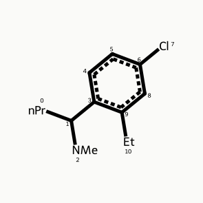 CCCC(NC)c1ccc(Cl)cc1CC